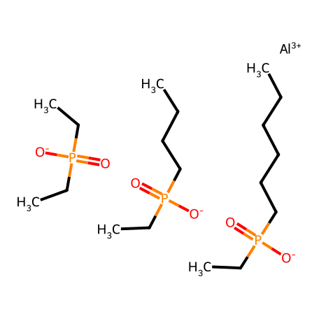 CCCCCCP(=O)([O-])CC.CCCCP(=O)([O-])CC.CCP(=O)([O-])CC.[Al+3]